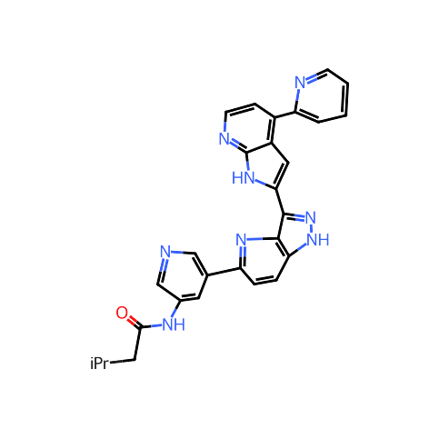 CC(C)CC(=O)Nc1cncc(-c2ccc3[nH]nc(-c4cc5c(-c6ccccn6)ccnc5[nH]4)c3n2)c1